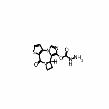 NNC(=O)Oc1ncn2c1[C@@H]1CCN1C(=O)c1sccc1-2